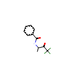 CC(NC(=O)c1ccccc1)C(=O)C(F)(F)F